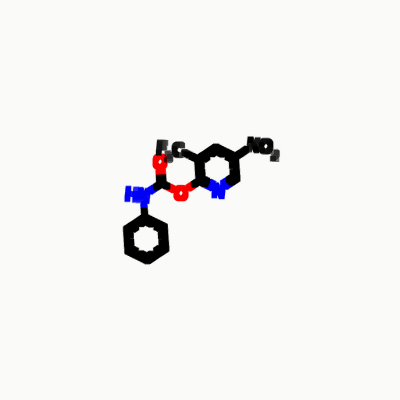 O=C(Nc1ccccc1)Oc1ncc([N+](=O)[O-])cc1C(F)(F)F